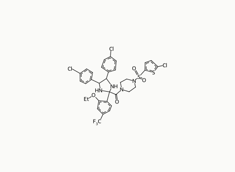 CCOc1cc(C(F)(F)F)ccc1C1(C(=O)N2CCN(S(=O)(=O)c3ccc(Cl)s3)CC2)NC(c2ccc(Cl)cc2)C(c2ccc(Cl)cc2)N1